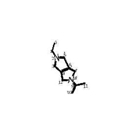 CCN1CC2=C(C1)CN(C(C)C)C2